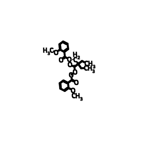 [CH2]C(CC)(CC)[C](OOC(=O)c1ccccc1OC)OOC(=O)c1ccccc1OC